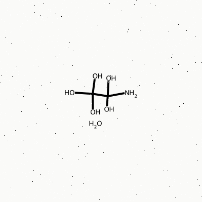 NC(O)(O)C(O)(O)O.O